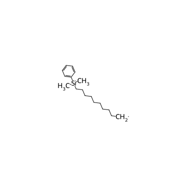 [CH2]CCCCCCCCC[Si](C)(C)c1ccccc1